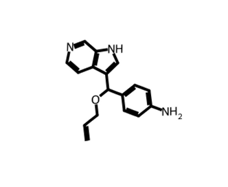 C=CCOC(c1ccc(N)cc1)c1c[nH]c2cnccc12